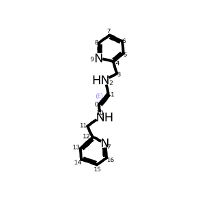 C(=C\NCc1ccccn1)/NCc1ccccn1